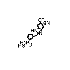 N#Cc1cc2nc(Cc3cccc(C(=O)NO)c3)[nH]c2cc1C(F)(F)F